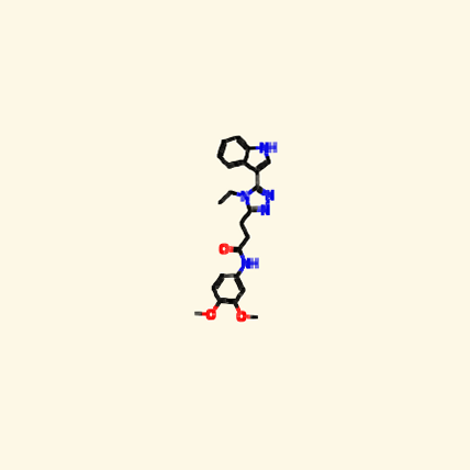 CCn1c(CCC(=O)Nc2ccc(OC)c(OC)c2)nnc1-c1c[nH]c2ccccc12